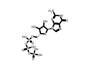 Nc1nc2c(ncn2[C@H]2S[C@H](COP(=O)(O)OP(=O)(O)OP(=O)(O)O)C(O)C2O)c(=O)[nH]1